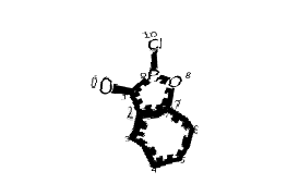 O=c1c2ccccc2op1Cl